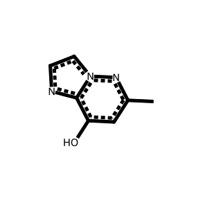 Cc1cc(O)c2nccn2n1